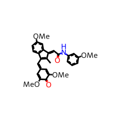 COC1=CC(=CC2=C(C)C(=CC(=O)Nc3cccc(OC)c3)c3cc(OC)ccc32)C=C(OC)C1=O